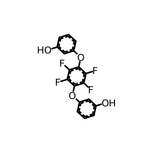 Oc1cccc(Oc2c(F)c(F)c(Oc3cccc(O)c3)c(F)c2F)c1